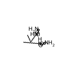 CCCCCCCCC(CCCCCCCCCNC(=O)OCc1ccc(N)cc1)C(CCCCCCCC)CCCCCCCCCNC(=O)OCc1cccc(N)c1